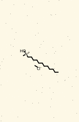 CC.CCCCCCCCCCCC[N+](C)(C)O.[Cl-]